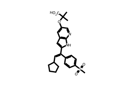 CC(C)(Oc1cnc2[nH]c(/C(=C/C3CCCC3)c3ccc(S(C)(=O)=O)cc3)cc2c1)C(=O)O